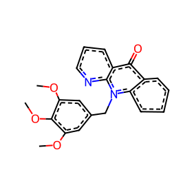 COc1cc(Cn2c3ccccc3c(=O)c3cccnc32)cc(OC)c1OC